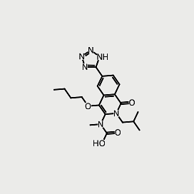 CCCCOc1c(N(C)C(=O)O)n(CC(C)C)c(=O)c2ccc(-c3nnn[nH]3)cc12